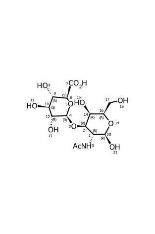 CC(=O)N[C@@H]1[C@@H](O[C@@H]2O[C@H](C(=O)O)[C@@H](O)[C@H](O)[C@H]2O)[C@@H](O)[C@@H](CO)O[C@H]1O